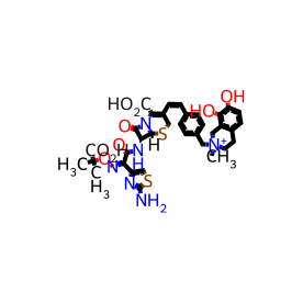 CC(C)(O/N=C(\C(=O)N[C@@H]1C(=O)N2C(C(=O)O)=C(/C=C\c3ccc(C[N+]4(C)CCc5ccc(O)c(O)c5C4)cc3)CS[C@H]12)c1csc(N)n1)C(=O)O